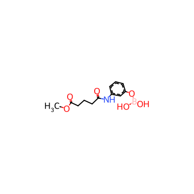 COC(=O)CCCC(=O)Nc1cccc(OB(O)O)c1